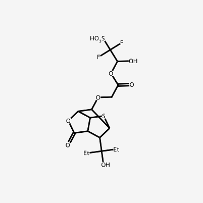 CCC(O)(CC)C1C2SC3C(OC(=O)C31)C2OCC(=O)OC(O)C(F)(F)S(=O)(=O)O